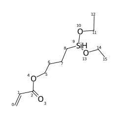 C=CC(=O)OCCCC[SiH](OCC)OCC